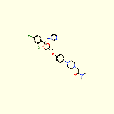 CN(C)C(=O)CN1CCN(c2ccc(OC[C@@H]3CO[C@@](Cn4ccnc4)(c4ccc(Cl)cc4Cl)O3)cc2)CC1